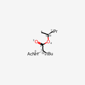 CC(=O)N[C@H](C(=O)O[C@@H](C)C(C)C)C(C)(C)C